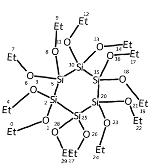 CCO[Si]1(OCC)[Si](OCC)(OCC)[Si](OCC)(OCC)[Si](OCC)(OCC)[Si](OCC)(OCC)[Si]1(OCC)OCC